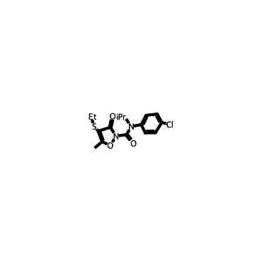 CCSc1c(C)on(C(=O)N(c2ccc(Cl)cc2)C(C)C)c1=O